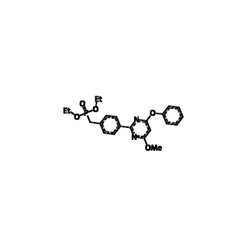 CCOP(=O)(Cc1ccc(-c2nc(OC)cc(Oc3ccccc3)n2)cc1)OCC